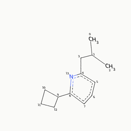 CC(C)Cc1cccc(C2CCC2)n1